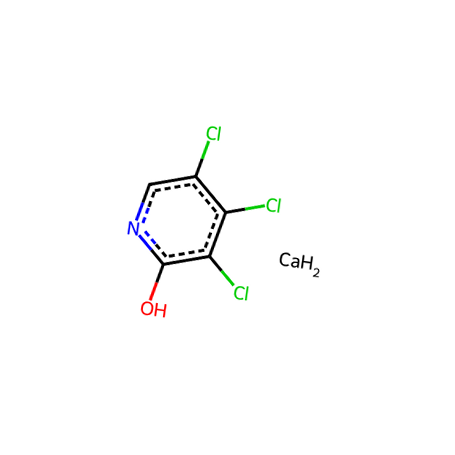 Oc1ncc(Cl)c(Cl)c1Cl.[CaH2]